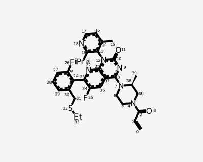 C=CC(=O)N1CCN(c2nc(=O)n(-c3c(C)ccnc3C(C)C)c3nc(-c4c(F)cccc4CSCC)c(F)cc23)[C@@H](C)C1